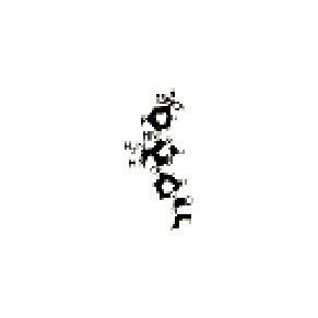 CC(C)OC(=O)N1CCC(Oc2ncnc(Nc3ccc(S(C)(=O)=O)cc3F)c2C(=N)N)CC1